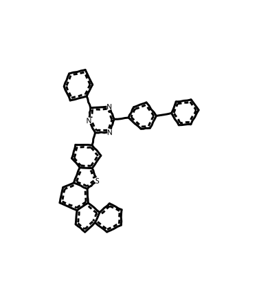 c1ccc(-c2ccc(-c3nc(-c4ccccc4)nc(-c4ccc5c(c4)sc4c5ccc5ccc6ccccc6c54)n3)cc2)cc1